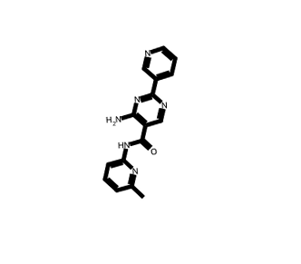 Cc1cccc(NC(=O)c2cnc(-c3cccnc3)nc2N)n1